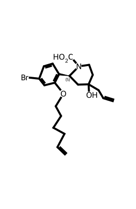 C=CCCCCOc1cc(Br)ccc1[C@@H]1CC(O)(CC=C)CCN1C(=O)O